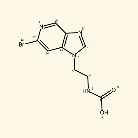 O=C(O)NCCn1cnc2cnc(Br)cc21